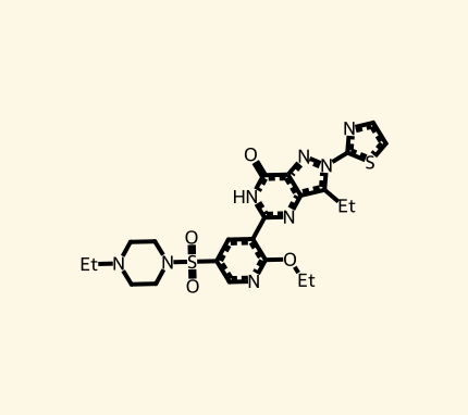 CCOc1ncc(S(=O)(=O)N2CCN(CC)CC2)cc1-c1nc2c(CC)n(-c3nccs3)nc2c(=O)[nH]1